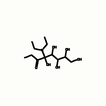 CCC(=O)C(O)(C(O)C(O)C(O)CO)N(CC)CC